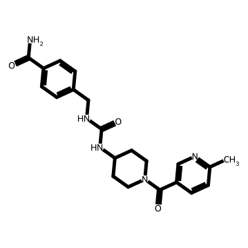 Cc1ccc(C(=O)N2CCC(NC(=O)NCc3ccc(C(N)=O)cc3)CC2)cn1